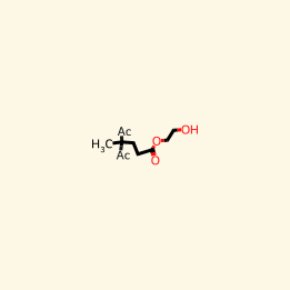 CC(=O)C(C)(CCC(=O)OCCO)C(C)=O